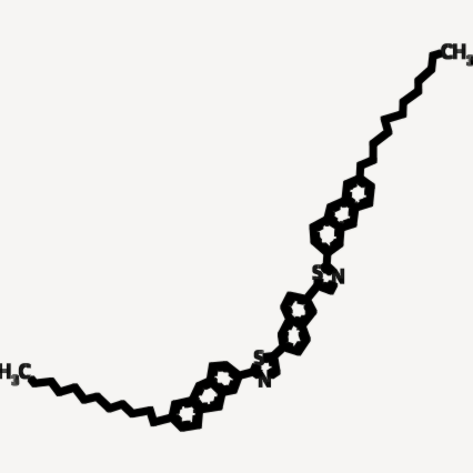 CCCCCCCCCCCCc1ccc2cc3cc(-c4ncc(-c5ccc6cc(-c7cnc(-c8ccc9cc%10cc(CCCCCCCCCCCC)ccc%10cc9c8)s7)ccc6c5)s4)ccc3cc2c1